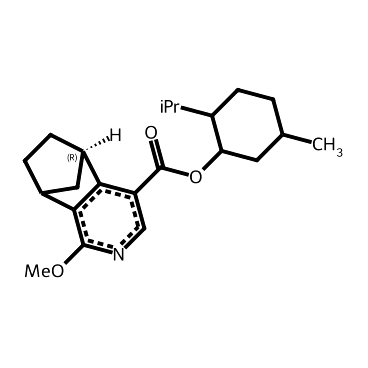 COc1ncc(C(=O)OC2CC(C)CCC2C(C)C)c2c1C1CC[C@@H]2C1